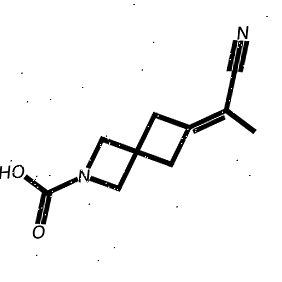 CC(C#N)=C1CC2(C1)CN(C(=O)O)C2